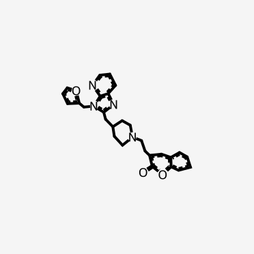 O=c1oc2ccccc2cc1CCN1CCC(Cc2nc3cccnc3n2Cc2ccco2)CC1